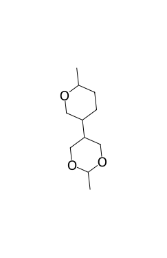 CC1CCC(C2COC(C)OC2)CO1